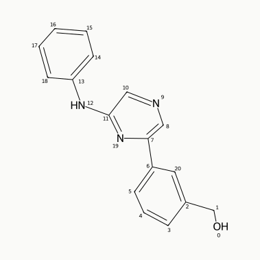 OCc1cccc(-c2cncc(Nc3ccccc3)n2)c1